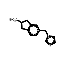 CCOC(=O)C1Cc2ccc(Cn3ccnc3)cc2C1